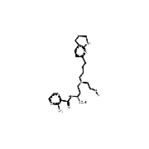 CCOCCN(CCCCc1ccc2c(n1)NCCC2)CC[C@H](NC(=O)c1nccnc1C(F)(F)F)C(=O)O